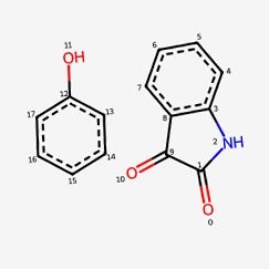 O=C1Nc2ccccc2C1=O.Oc1ccccc1